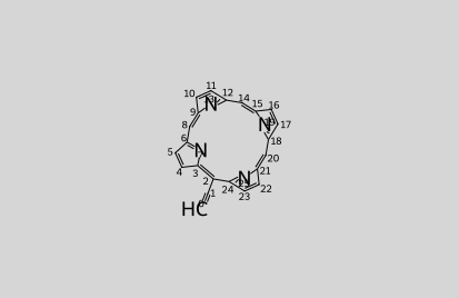 C#CC1=C2C=CC(=N2)C=C2C=CC(=N2)C=C2C=CC(=N2)C=C2C=CC1=N2